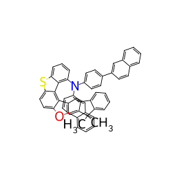 CC1(C)c2ccccc2-c2c(N(c3ccc(-c4ccc5ccccc5c4)cc3)c3cccc4sc5ccc6oc7c8ccccc8ccc7c6c5c34)cccc21